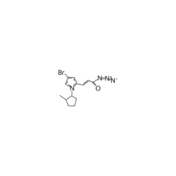 CC1CCCC1n1cc(Br)cc1/C=C/C(=O)N=[N+]=[N-]